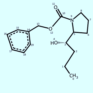 CCC[C@H](O)C1CCCN1C(=O)OCc1ccccc1